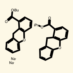 CC(C)COC(=O)c1cccc2c1Cc1ccccc1O2.CC(C)OC(=O)c1cccc2c1Cc1ccccc1O2.[Na].[Na]